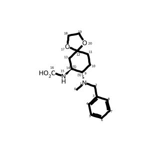 CN(Cc1ccccc1)[C@H]1CCC2(C[C@@H]1NC(=O)O)OCCO2